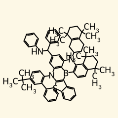 CC1(C)CCC(C)(C)C2=C1CCC(N1c3cc(C(Nc4ccccc4)c4ccccc4)cc4c3B(c3ccc5c(c31)C(C)(C)CCC5(C)C)c1c(sc3ccccc13)N4c1ccc(C(C)(C)C)cc1-c1ccccc1)C2